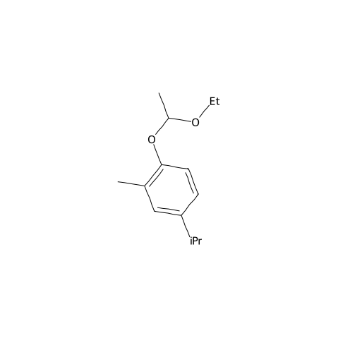 CCOC(C)Oc1ccc(C(C)C)cc1C